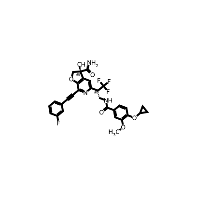 COc1cc(C(=O)NC[C@H](c2cc3c(c(C#Cc4cccc(F)c4)n2)OC[C@]3(C)C(N)=O)C(F)(F)F)ccc1OC1CC1